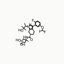 CC(n1nc(-c2cc(OC(F)F)ccc2F)c2c1C[C@H](C(=O)NC1(C)CS(O)(O)C1)CC2)C(C)(C)O